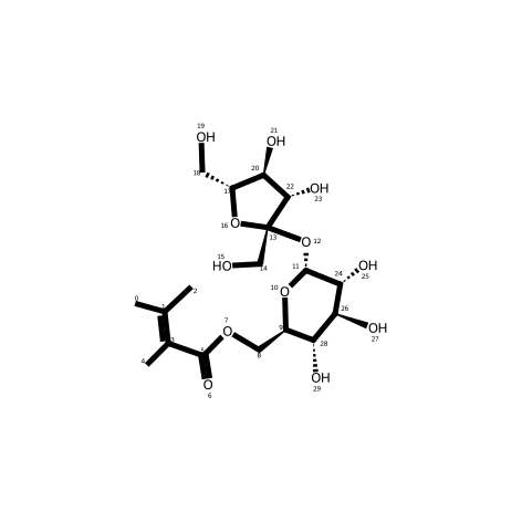 CC(C)=C(C)C(=O)OC[C@H]1O[C@H](O[C@]2(CO)O[C@H](CO)[C@@H](O)[C@@H]2O)[C@H](O)[C@@H](O)[C@@H]1O